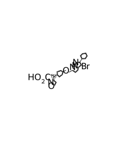 O=C(O)C[C@@H](c1ccc(OCc2ccc3c(Br)c(-c4ccccc4)nn3n2)cc1)c1ccon1